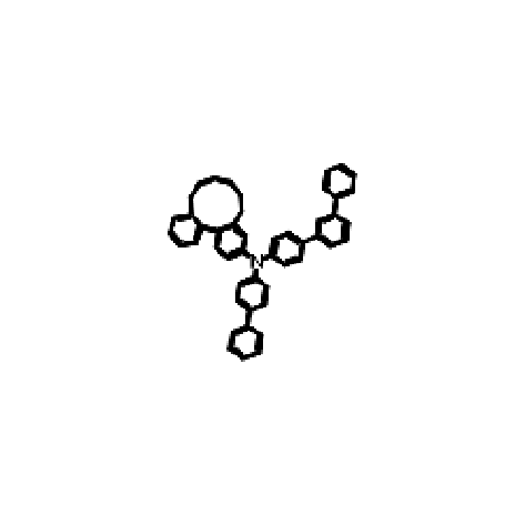 c1ccc(-c2ccc(N(c3ccc(-c4cccc(-c5ccccc5)c4)cc3)c3ccc4c(c3)CCCCCCc3ccccc3-4)cc2)cc1